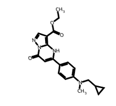 CCOC(=O)c1cnn2c(=O)cc(-c3ccc(N(C)CC4CC4)cc3)[nH]c12